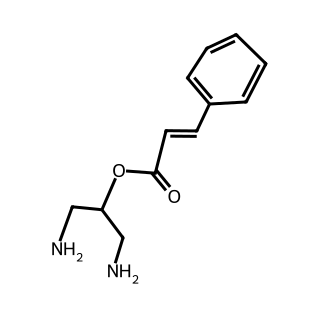 NCC(CN)OC(=O)C=Cc1ccccc1